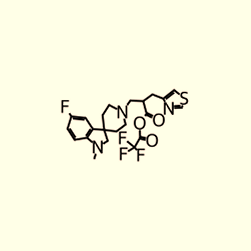 CN1CC2(CCN(CC(Cc3cscn3)C(=O)OC(=O)C(F)(F)F)CC2)c2cc(F)ccc21